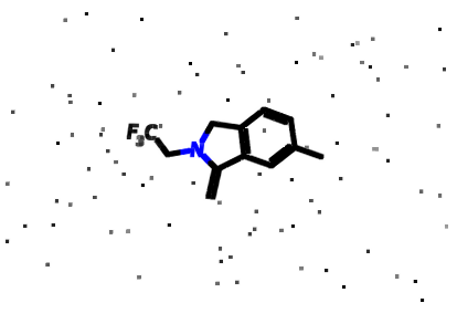 C=C1c2cc(C)ccc2CN1CC(F)(F)F